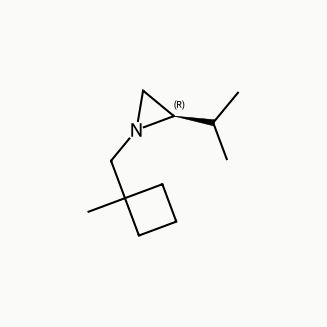 CC(C)[C@@H]1CN1CC1(C)CCC1